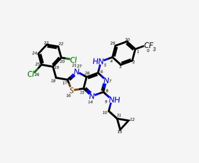 FC(F)(F)c1ccc(Nc2nc(NCC3CC3)nc3sc(Cc4c(Cl)cccc4Cl)nc23)cc1